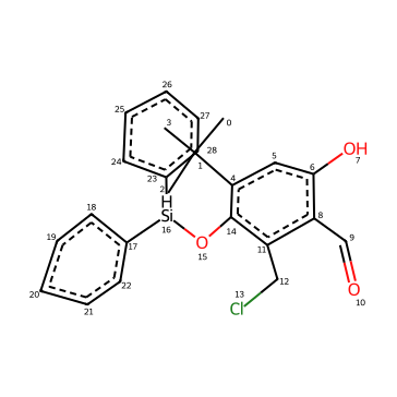 CC(C)(C)c1cc(O)c(C=O)c(CCl)c1O[SiH](c1ccccc1)c1ccccc1